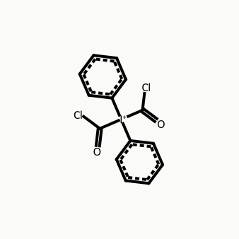 O=C(Cl)[I+](C(=O)Cl)(c1ccccc1)c1ccccc1